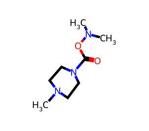 CN1CCN(C(=O)ON(C)C)CC1